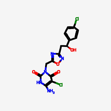 Nc1[nH]c(=O)n(Cc2nc(C[C@H](O)c3ccc(Cl)cc3)no2)c(=O)c1Cl